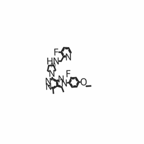 CCOc1ccc(-n2nc3c(N4CC[C@H](NCc5ncccc5F)C4)nnc(C)c3c2C)c(F)c1